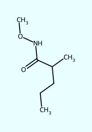 CCCC(C)C(=O)NOC